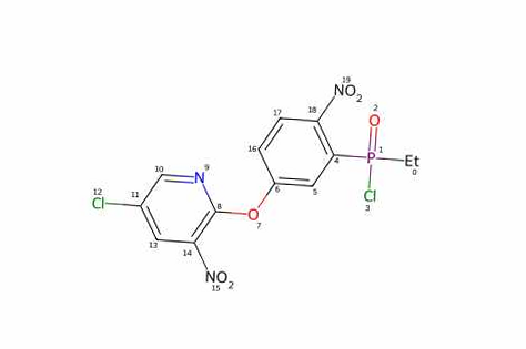 CCP(=O)(Cl)c1cc(Oc2ncc(Cl)cc2[N+](=O)[O-])ccc1[N+](=O)[O-]